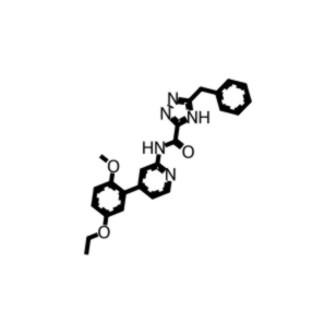 CCOc1ccc(OC)c(-c2ccnc(NC(=O)c3nnc(Cc4ccccc4)[nH]3)c2)c1